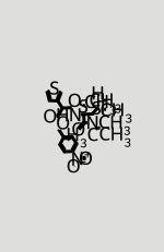 CSC1(NC(=O)C(C(=O)OCc2ccc([N+](=O)[O-])cc2)c2ccsc2)C(=O)N(C(C)(C)C)C1[SiH](C)C